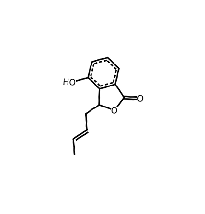 CC=CCC1OC(=O)c2cccc(O)c21